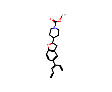 C=C/C=C(\C=C)c1ccc2c(c1)CC(C1CCN(C(=O)OC(C)C)CC1)O2